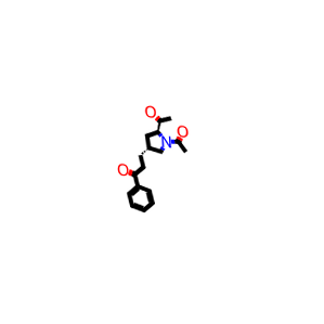 CC(=O)[C@@H]1C[C@@H](CCC(=O)c2ccccc2)CN1C(C)=O